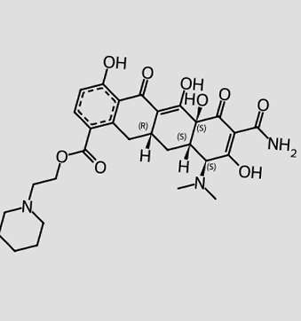 CN(C)[C@@H]1C(O)=C(C(N)=O)C(=O)[C@@]2(O)C(O)=C3C(=O)c4c(O)ccc(C(=O)OCCN5CCCCC5)c4C[C@H]3C[C@@H]12